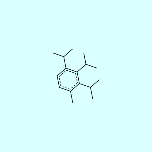 [CH2]c1ccc(C(C)C)c(C(C)C)c1C(C)C